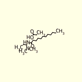 CCC(=O)O.CCCCCCCCCCCC(=O)NC(CC)N(C)C